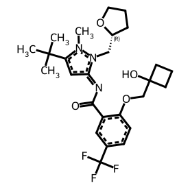 Cn1c(C(C)(C)C)cc(=NC(=O)c2cc(C(F)(F)F)ccc2OCC2(O)CCC2)n1C[C@H]1CCCO1